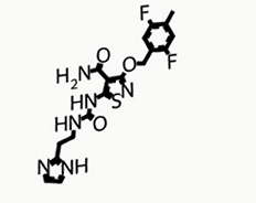 Cc1cc(F)c(COc2nsc(NC(=O)NCCc3ncc[nH]3)c2C(N)=O)cc1F